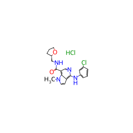 Cl.Cn1ccc2c(Nc3cccc(Cl)c3)ncc(C(=O)NC[C@H]3CCCO3)c21